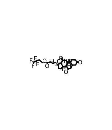 C[C@]12C(=O)C[C@H]3[C@@H](C(=O)CC4CC(=O)CC[C@@]43C)[C@@H]1CC[C@@H]2CCCC(=O)OCCC(F)(F)C(F)F